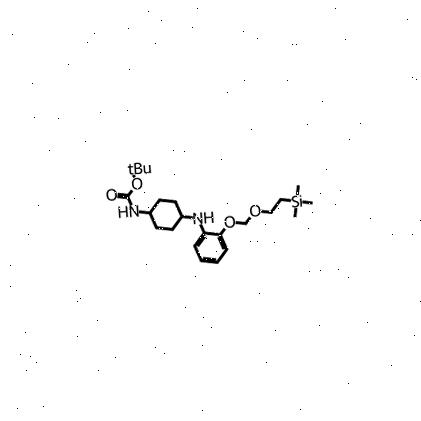 CC(C)(C)OC(=O)NC1CCC(Nc2ccccc2OCOCC[Si](C)(C)C)CC1